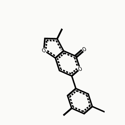 Cc1cc(C)cc(-c2cc3occ(C)c3c(=O)o2)c1